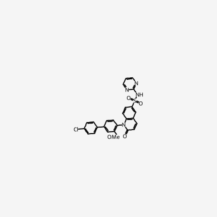 COc1cc(-c2ccc(Cl)cc2)ccc1-n1c(=O)ccc2cc(S(=O)(=O)Nc3ncccn3)ccc21